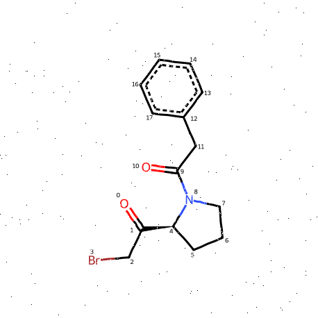 O=C(CBr)[C@@H]1CCCN1C(=O)Cc1ccccc1